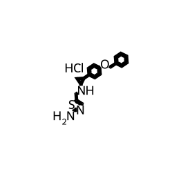 Cl.Nc1ncc(CNC2CC2c2ccc(OCc3ccccc3)cc2)s1